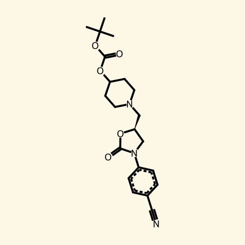 CC(C)(C)OC(=O)OC1CCN(C[C@H]2CN(c3ccc(C#N)cc3)C(=O)O2)CC1